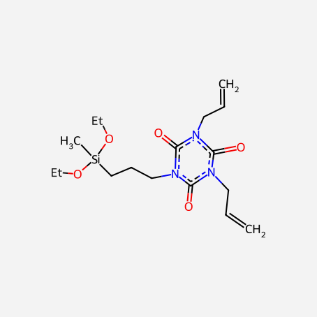 C=CCn1c(=O)n(CC=C)c(=O)n(CCC[Si](C)(OCC)OCC)c1=O